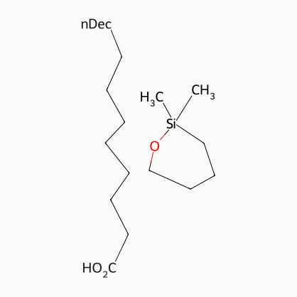 CCCCCCCCCCCCCCCCCC(=O)O.C[Si]1(C)CCCCO1